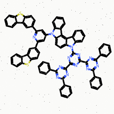 c1ccc(-c2nc(-c3ccccc3)nc(-c3nc(-c4nc(-c5ccccc5)nc(-c5ccccc5)n4)nc(-n4c5ccccc5c5c6c7ccccc7n(-c7cc(-c8ccc9sc%10ccccc%10c9c8)nc(-c8ccc9sc%10ccccc%10c9c8)c7)c6ccc54)n3)n2)cc1